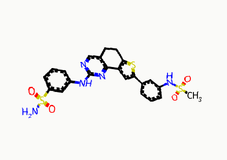 CS(=O)(=O)Nc1cccc(-c2cc3c(s2)CCc2cnc(Nc4cccc(S(N)(=O)=O)c4)nc2-3)c1